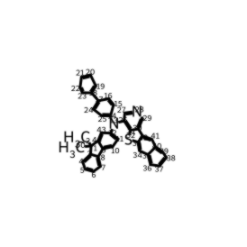 CC1(C)c2ccccc2-c2ccc(N(c3ccc(-c4ccccc4)cc3)c3cncc4c3sc3cc5ccccc5cc34)cc21